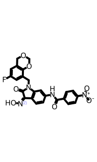 O=C(Nc1ccc2c(c1)N(Cc1cc(F)cc3c1OCOC3)C(=O)/C2=N\O)c1ccc([N+](=O)[O-])cc1